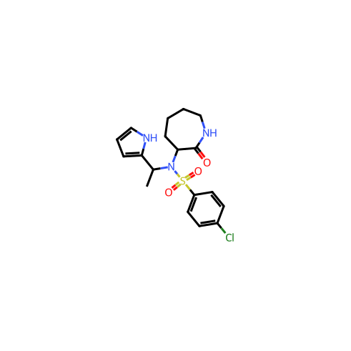 CC(c1ccc[nH]1)N(C1CCCCNC1=O)S(=O)(=O)c1ccc(Cl)cc1